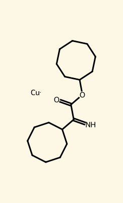 N=C(C(=O)OC1CCCCCCC1)C1CCCCCCC1.[Cu]